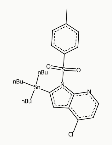 CCC[CH2][Sn]([CH2]CCC)([CH2]CCC)[c]1cc2c(Cl)ccnc2n1S(=O)(=O)c1ccc(C)cc1